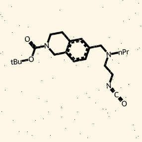 CCCN(CCN=C=O)Cc1ccc2c(c1)CCN(C(=O)OC(C)(C)C)C2